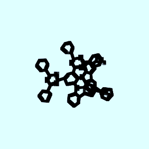 Cc1ccc2c(c1)c1cc(C)ccc1n2-c1c(-c2nc(-c3ccccc3)nc(-c3ccccc3)n2)cc(-c2nc(-c3ccccc3)nc(-c3ccccc3)n2)cc1-n1c2ccccc2c2cc(-c3ccccc3)ccc21